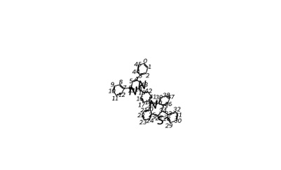 c1ccc(-c2cc(-c3ccccc3)nc(-c3ccc(N4c5ccccc5C5Sc6ccccc6C5c5ccccc54)cc3)n2)cc1